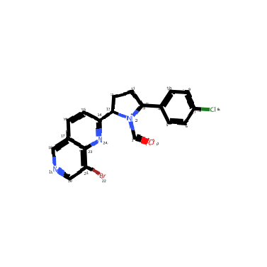 O=CN1C(c2ccc(Cl)cc2)CCC1c1ccc2cncc(Br)c2n1